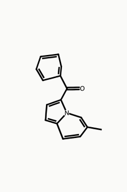 Cc1ccc2ccc(C(=O)c3ccccc3)n2c1